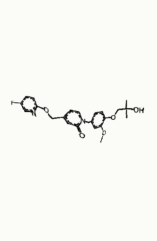 COc1cc(-n2ccc(COc3ccc(F)cn3)cc2=O)ccc1OCC(C)(C)O